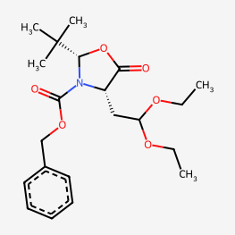 CCOC(C[C@H]1C(=O)O[C@@H](C(C)(C)C)N1C(=O)OCc1ccccc1)OCC